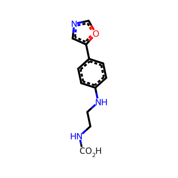 O=C(O)NCCNc1ccc(-c2cnco2)cc1